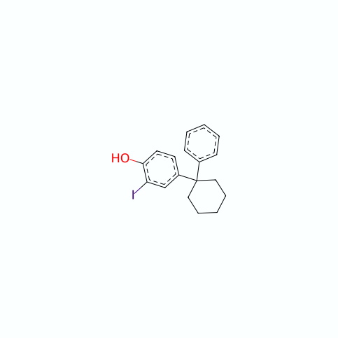 Oc1ccc(C2(c3ccccc3)CCCCC2)cc1I